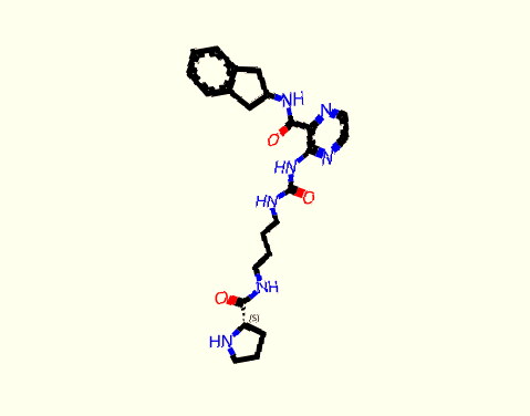 O=C(NCCCCNC(=O)[C@@H]1CCCN1)Nc1nccnc1C(=O)NC1Cc2ccccc2C1